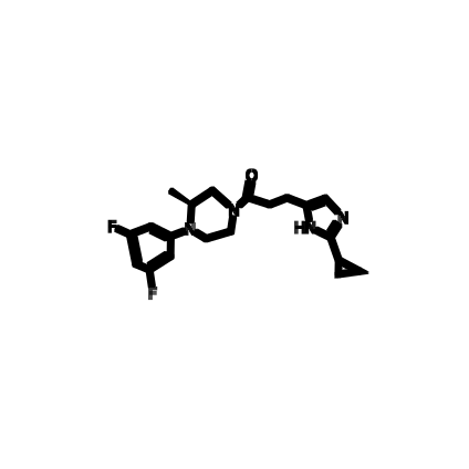 C[C@H]1CN(C(=O)CCc2cnc(C3CC3)[nH]2)CCN1c1cc(F)cc(F)c1